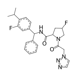 CC(C)c1ccc(C(NC(=O)C2CC(F)CN2C(=O)Cn2ccnn2)c2ccccc2)cc1F